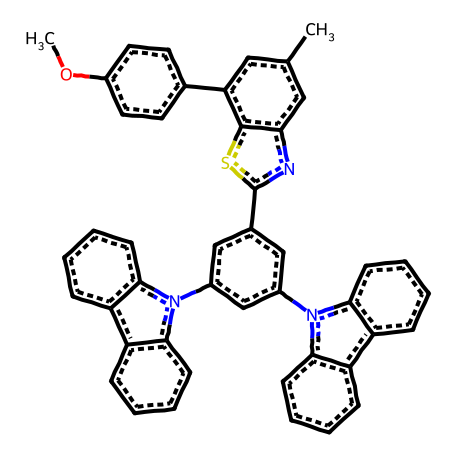 COc1ccc(-c2cc(C)cc3nc(-c4cc(-n5c6ccccc6c6ccccc65)cc(-n5c6ccccc6c6ccccc65)c4)sc23)cc1